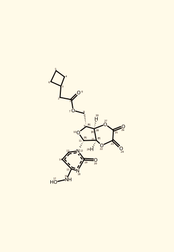 O=C(CC1CCC1)OC[C@H]1O[C@@H](n2ccc(NO)nc2=O)[C@@H]2OC(=O)C(=O)O[C@@H]21